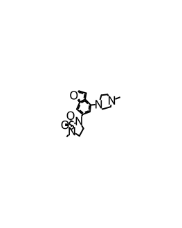 CN1CCN(c2cc(N3CCN(C)S3(=O)=O)cc3occc23)CC1